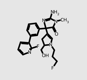 CN1C(=O)C(C2=CN(CCCF)C(CO)C2)(c2cccc(-c3cccnc3F)c2)N=C1N